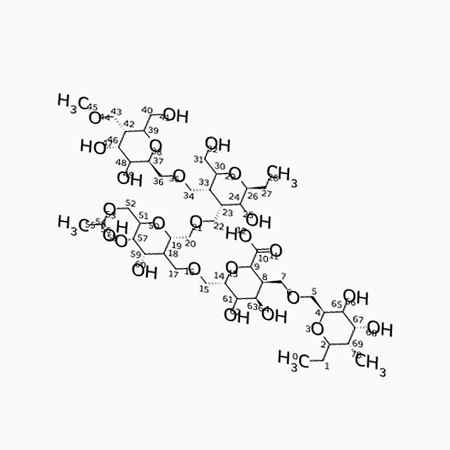 CCC1O[C@@H](COC[C@@H]2C(C(=O)O)O[C@@H](COCC3[C@@H](COC[C@H]4C(O)[C@H](CC)OC(CO)[C@H]4COC[C@@H]4OC(CO)[C@@H](COC)[C@@H](O)C4O)OC(COC(C)=O)[C@@H](O)[C@H]3O)C(O)[C@@H]2O)C(O)[C@H](O)[C@@H]1C